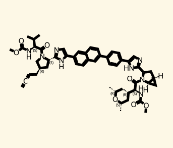 C=C=CC[C@@H]1C[C@@H](c2ncc(-c3ccc4cc(-c5ccc(-c6cnc(C7C[C@H]8C[C@H]8N7C(=O)[C@@H](NC(=O)OC)[C@H]7C[C@@H](C)O[C@@H](C)C7)[nH]6)cc5)ccc4c3)[nH]2)N(C(=O)[C@@H](NC(=O)OC)C(C)C)C1